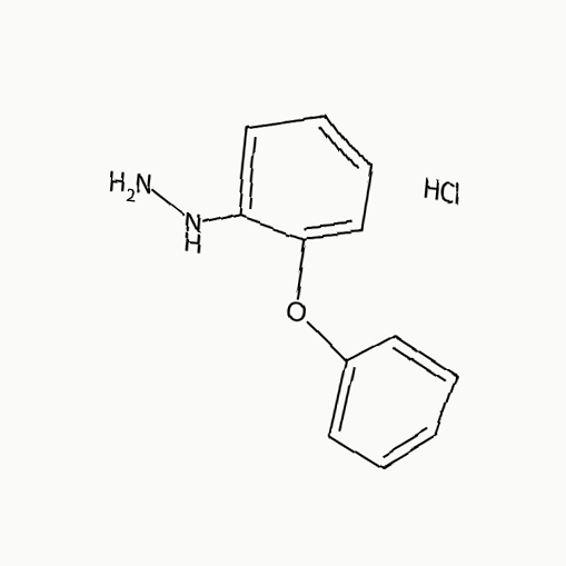 Cl.NNc1ccccc1Oc1ccccc1